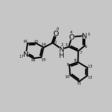 O=C(Nc1oncc1-c1ccccc1)c1ccncc1